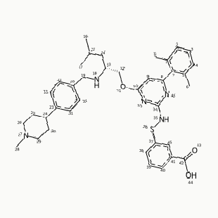 Cc1cccc(C)c1-c1cc(OC[C@@H](CC(C)C)NCc2ccc(C3CCN(C)CC3)cc2)nc(NSc2cccc(C(=O)O)c2)n1